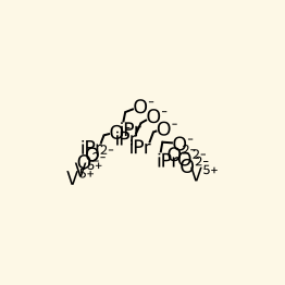 CC(C)C[O-].CC(C)C[O-].CC(C)C[O-].CC(C)C[O-].CC(C)C[O-].[O-2].[O-2].[O-2].[O-2].[O-2].[V+5].[V+5].[V+5]